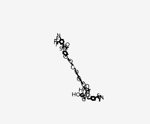 Cc1ncsc1-c1ccc(CNC(=O)[C@@H]2C[C@@H](O)CN2C(=O)C(NC(=O)COCCOCCOCCOCCOCCOc2ccc(N3C(=S)N(c4ccc(C#N)c(C(F)(F)F)c4)C(=O)C3(C)C)cc2)C(C)(C)C)cc1